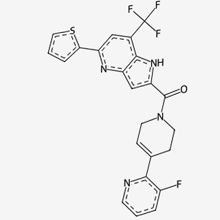 O=C(c1cc2nc(-c3cccs3)cc(C(F)(F)F)c2[nH]1)N1CC=C(c2ncccc2F)CC1